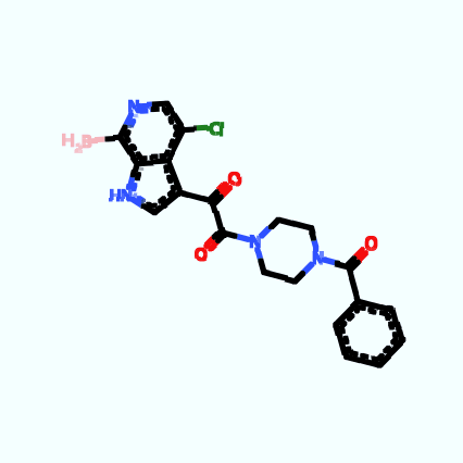 Bc1ncc(Cl)c2c(C(=O)C(=O)N3CCN(C(=O)c4ccccc4)CC3)c[nH]c12